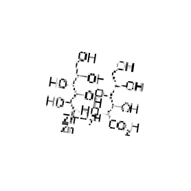 O=C(O)C(O)C(O)C(O)C(O)CO.O=C(O)C(O)C(O)C(O)C(O)CO.[Zn].[Zn]